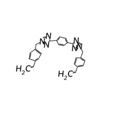 C=Cc1ccc(Cn2cnc(-c3ccc(-c4ncn(Cc5ccc(C=C)cc5)n4)cc3)n2)cc1